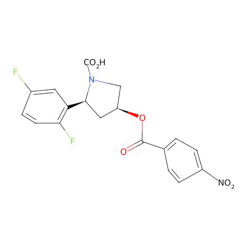 O=C(O[C@H]1C[C@@H](c2cc(F)ccc2F)N(C(=O)O)C1)c1ccc([N+](=O)[O-])cc1